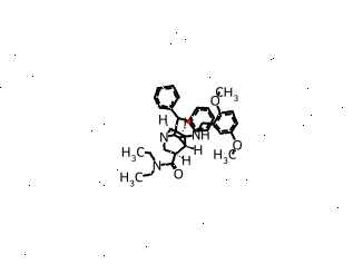 CCN(CC)C(=O)[C@H]1CN2CC[C@H]1[C@H](NCc1cc(OC)ccc1OC)[C@@H]2C(c1ccccc1)c1ccccc1